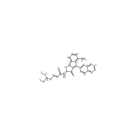 C=C1c2c(-c3cnc4ccccc4c3)c3c(N)ncnc3n2CC1NC(=O)C=CCN(CC)CC